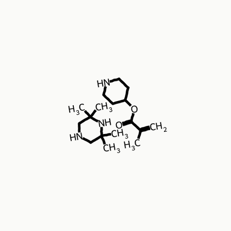 C=C(C)C(=O)OC1CCNCC1.CC1(C)CNCC(C)(C)N1